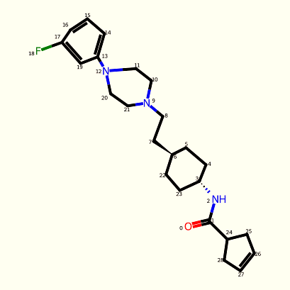 O=C(N[C@H]1CC[C@H](CCN2CCN(c3cccc(F)c3)CC2)CC1)C1CC=CC1